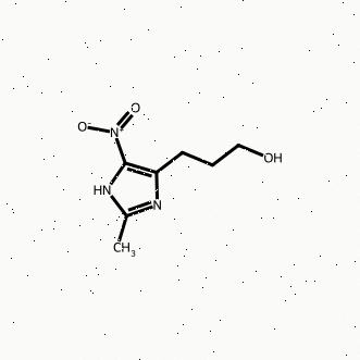 Cc1nc(CCCO)c([N+](=O)[O-])[nH]1